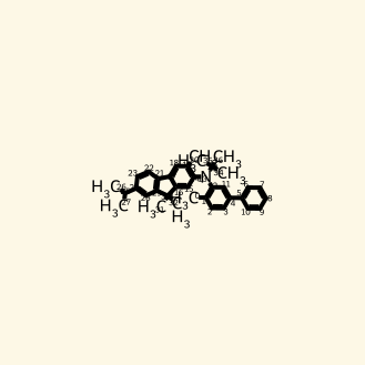 Cc1ccc(-c2ccccc2)cc1N(c1cc2c(cc1C)-c1ccc(C(C)C)cc1C2(C)C)C(C)(C)C